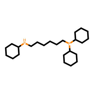 C(CCCP(C1CCCCC1)C1CCCCC1)CCPC1CCCCC1